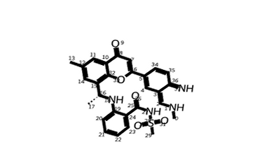 CN/C=C1/C=C(c2cc(=O)c3cc(C)cc([C@@H](C)Nc4ccccc4C(=O)NS(C)(=O)=O)c3o2)C=CC1=N